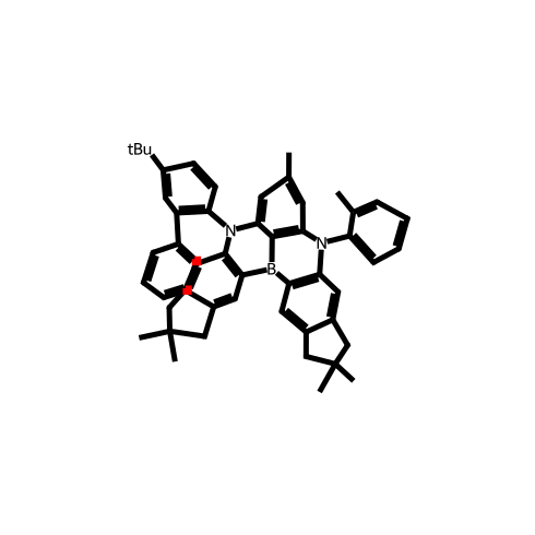 Cc1cc2c3c(c1)N(c1ccc(C(C)(C)C)cc1-c1ccccc1)c1cc4c(cc1B3c1cc3c(cc1N2c1ccccc1C)CC(C)(C)C3)CC(C)(C)C4